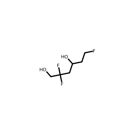 OCC(F)(F)CC(O)CCF